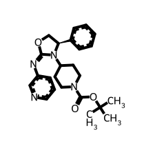 CC(C)(C)OC(=O)N1CCC(N2/C(=N\c3cccnc3)OC[C@H]2c2ccccc2)CC1